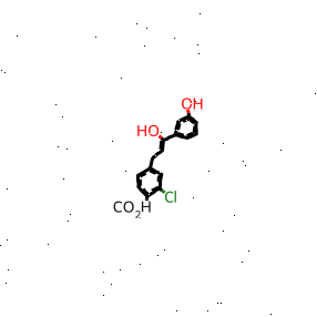 O=C(O)c1ccc(CC=C(O)c2cccc(O)c2)cc1Cl